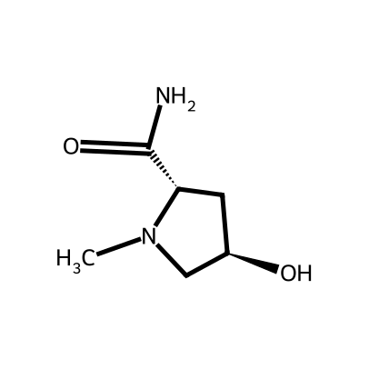 CN1C[C@H](O)C[C@H]1C(N)=O